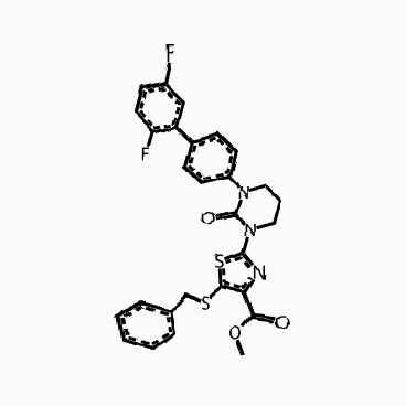 COC(=O)c1nc(N2CCCN(c3ccc(-c4cc(F)ccc4F)cc3)C2=O)sc1SCc1ccccc1